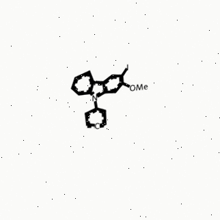 COc1cc2c(cc1I)c1ccccc1n2-c1ccccc1